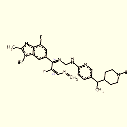 C=N/C=C(F)\C(=N/CNc1ccc(C(C)C2CCN(C(C)C)CC2)cn1)c1cc(F)c2nc(C)n(C(C)C)c2c1